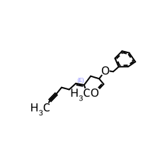 CC#CCC/C=C(\C)CC(C=O)OCc1ccccc1